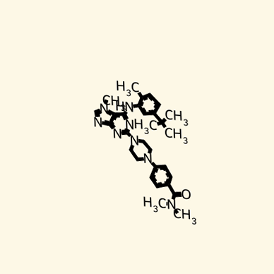 Cc1ccc(C(C)(C)C)cc1Nc1nc(N2CCN(c3ccc(C(=O)N(C)C)cc3)CC2)nc2ncn(C)c12